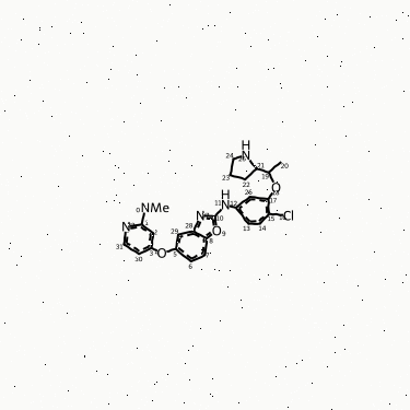 CNc1cc(Oc2ccc3oc(Nc4ccc(Cl)c(OC(C)C5CCCN5)c4)nc3c2)ccn1